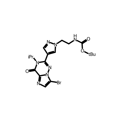 CC(C)n1c(-c2cnn(CCNC(=O)OC(C)(C)C)c2)nn2c(Br)cnc2c1=O